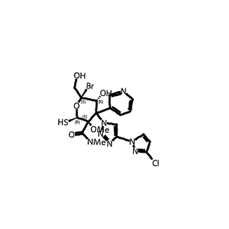 CNC(=O)[C@]1(OC)[C@@H](S)O[C@](Br)(CO)[C@H](O)C1(c1cccnc1)n1cc(-n2ccc(Cl)n2)nn1